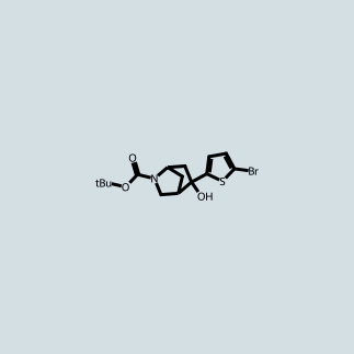 CC(C)(C)OC(=O)N1CC2CC1CC2(O)c1ccc(Br)s1